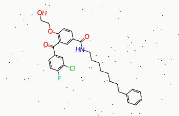 O=C(NCCCCCCCCc1ccccc1)c1ccc(OCCO)c(C(=O)c2ccc(F)c(Cl)c2)c1